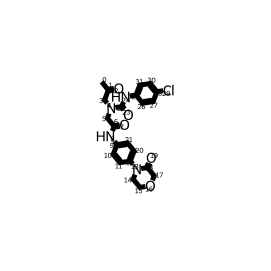 CC(=O)CN(CC(=O)Nc1ccc(N2CCOCC2=O)cc1)C(=O)Nc1ccc(Cl)cc1